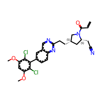 C=CC(=O)N1C[C@@H](CCc2ncc3cc(-c4c(Cl)c(OC)cc(OC)c4Cl)ccc3n2)C[C@H]1CC#N